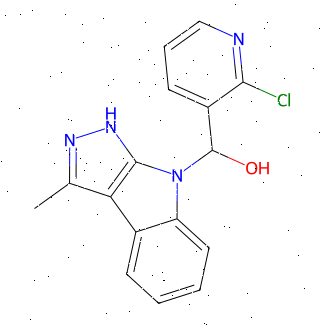 Cc1n[nH]c2c1c1ccccc1n2C(O)c1cccnc1Cl